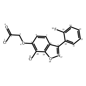 O=C(Cl)COc1ccc2c(-c3ccccc3F)noc2c1Cl